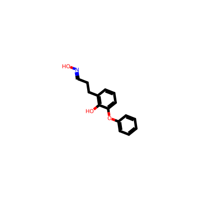 ON=CCCc1cccc(Oc2ccccc2)c1O